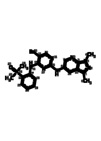 Cc1nn(C)c2ncc(Nc3ncc(Br)c(Nc4ccccc4P(C)(C)=O)n3)cc12